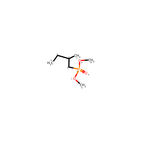 CCC(C)CP(=O)(OC)OC